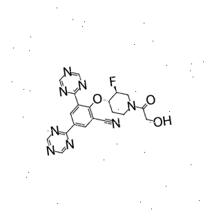 N#Cc1cc(-c2ncncn2)cc(-c2ncncn2)c1O[C@H]1CCN(C(=O)CO)C[C@@H]1F